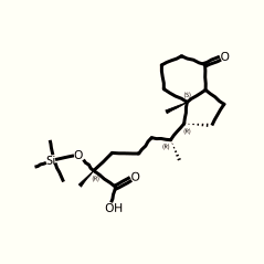 C[C@H](CCC[C@@](C)(O[Si](C)(C)C)C(=O)O)[C@H]1CCC2C(=O)CCC[C@]21C